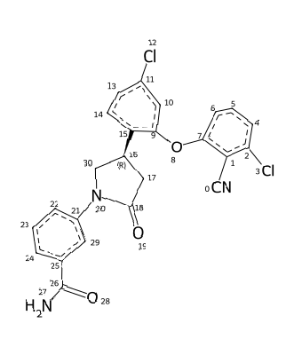 N#Cc1c(Cl)cccc1Oc1cc(Cl)ccc1[C@H]1CC(=O)N(c2cccc(C(N)=O)c2)C1